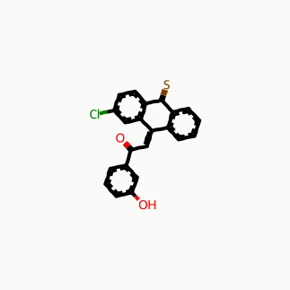 O=C(C=C1c2ccccc2C(=S)c2ccc(Cl)cc21)c1cccc(O)c1